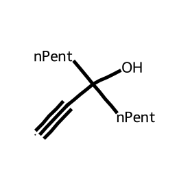 [C]#CC(O)(CCCCC)CCCCC